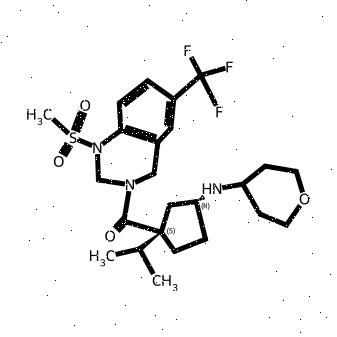 CC(C)[C@]1(C(=O)N2Cc3cc(C(F)(F)F)ccc3N(S(C)(=O)=O)C2)CC[C@@H](NC2CCOCC2)C1